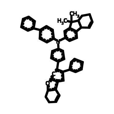 CC1(C)c2cc(N(c3ccc(-c4ccccc4)cc3)c3ccc(-c4cc5oc6c(c5cc4-c4ccccc4)C=CCC6)cc3)ccc2C2C=CCCC21